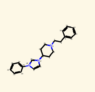 C1=CN(C2CCN(CCc3ccccc3)CC2)CN1c1ccccc1